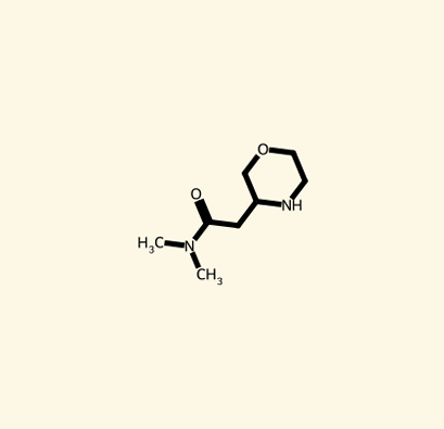 CN(C)C(=O)CC1COCCN1